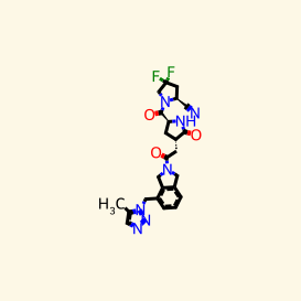 Cc1cnnn1Cc1cccc2c1CN(C(=O)C[C@@H]1C[C@@H](C(=O)N3CC(F)(F)C[C@H]3C#N)NC1=O)C2